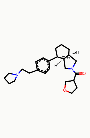 O=C(C1CCOC1)N1C[C@@H]2CCCC(c3ccc(CCN4CCCC4)cc3)[C@@H]2C1